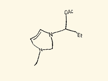 CCC(OC(C)=O)N1C=CN(C)C1